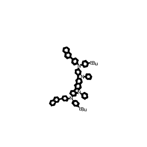 CC(C)(C)c1ccc(N(c2ccc(-c3ccc4ccccc4c3)cc2)c2ccc3c4cc5cc6c7ccc(N(c8ccc(-c9ccc%10ccccc%10c9)cc8)c8ccc(C(C)(C)C)cc8)cc7n(-c7ccccc7)c6cc5cc4n(-c4ccccc4)c3c2)cc1